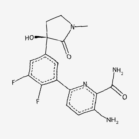 CN1CC[C@@](O)(c2cc(F)c(F)c(-c3ccc(N)c(C(N)=O)n3)c2)C1=O